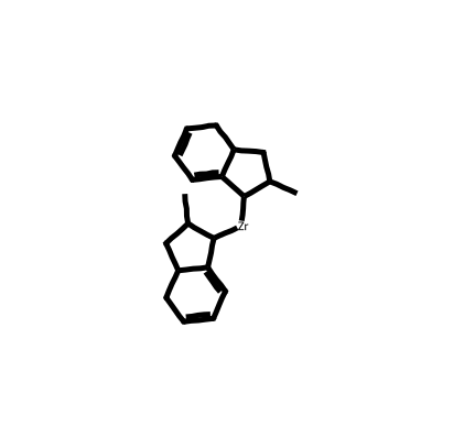 CC1CC2CC=CC=C2[CH]1[Zr][CH]1C2=CC=CCC2CC1C